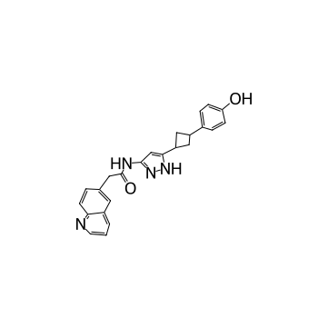 O=C(Cc1ccc2ncccc2c1)Nc1cc(C2CC(c3ccc(O)cc3)C2)[nH]n1